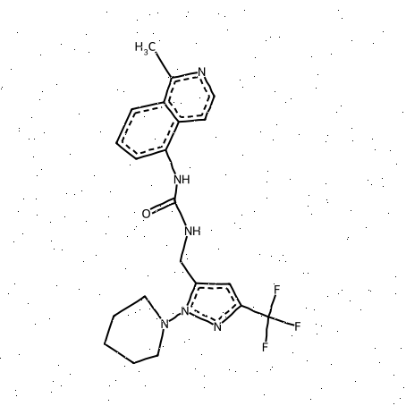 Cc1nccc2c(NC(=O)NCc3cc(C(F)(F)F)nn3N3CCCCC3)cccc12